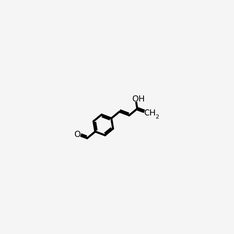 C=C(O)/C=C/c1ccc(C=O)cc1